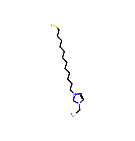 CCN1C=CN(CCCCCCCCCCCCS)C1